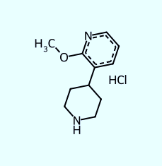 COc1ncccc1C1CCNCC1.Cl